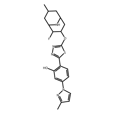 Cc1ccn(-c2ccc(-c3nnc(OC4CC5CC(C)CC(N5)C4F)s3)c(O)c2)n1